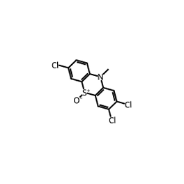 CN1c2ccc(Cl)cc2[S+]([O-])c2cc(Cl)c(Cl)cc21